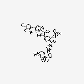 COc1ccc(-c2cnc(C(=O)Nc3ccc(C(=O)N4CCN(C(=O)[C@H]5CCNC[C@@H]5O)CC4)c(Cl)c3)n2C)c(F)c1F.O=CO